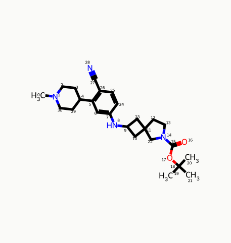 CN1CCC(c2cc(NC3CC4(CCN(C(=O)OC(C)(C)C)C4)C3)ccc2C#N)CC1